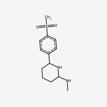 CS(=O)(=O)c1ccc(C2CCCC(NF)N2)cc1